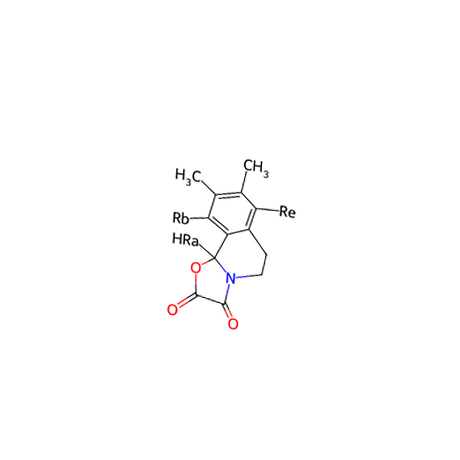 Cc1c(C)[c]([Re])c2c([c]1[Rb])[C]1([RaH])OC(=O)C(=O)N1CC2